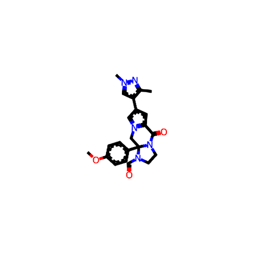 COc1ccc(C23Cn4cc(-c5cn(C)nc5C)cc4C(=O)N2CCN3C=O)cc1